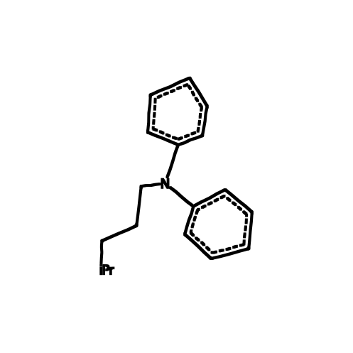 CC(C)CCCN(c1ccccc1)c1ccccc1